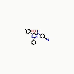 Cc1ccc(-c2nc(-c3ccccc3)nc(Nc3ccc(C#N)cc3)c2O)cc1